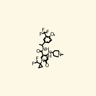 COc1ccc(C(C)NC(=O)c2cn(C3(C(F)F)CC3)c(=O)cc2NC2CCN(C)CC2)cc1C(F)(F)F